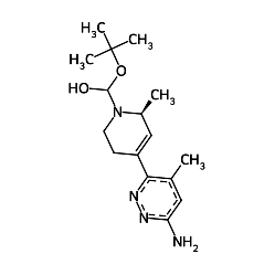 Cc1cc(N)nnc1C1=C[C@H](C)N(C(O)OC(C)(C)C)CC1